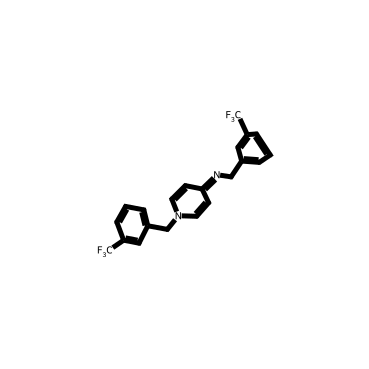 FC(F)(F)c1cccc(CN=c2ccn(Cc3cccc(C(F)(F)F)c3)cc2)c1